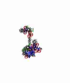 C#CCN1C(=O)COc2cc(F)c(N3C(=O)C4=C(CCCC4)C3=O)cc21.CC1=CCN2NC(S(=O)(=O)Nc3c(F)cccc3F)=NC2=N1.CCCCCOC(=O)COc1cc(N2C(=O)C3=C(CCCC3)C2=O)c(F)cc1Cl.CN(C)C(=O)Nc1cccc(C(F)(F)F)c1